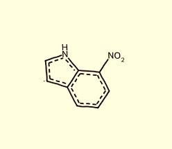 O=[N+]([O-])c1cccc2[c]c[nH]c12